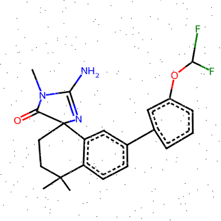 CN1C(=O)C2(CCC(C)(C)c3ccc(-c4cccc(OC(F)F)c4)cc32)N=C1N